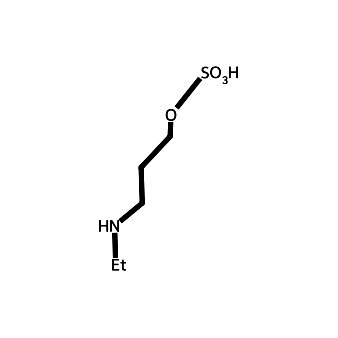 CCNCCCOS(=O)(=O)O